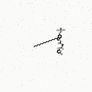 CCCCCCCCCCCCCCCCc1cn(CC(=O)N2C[C@H]2C(=O)Nc2cccc(Br)n2)c2ccc(OCP(=O)(O)O)cc12